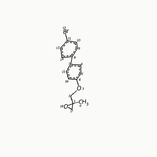 CC1(COc2ccc(-c3ccc(Br)cc3)cc2)CO1